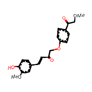 COCC(=O)c1ccc(OCC(=O)/C=C/c2ccc(O)c(OC)c2)cc1